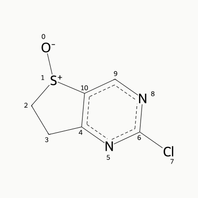 [O-][S+]1CCc2nc(Cl)ncc21